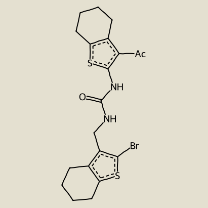 CC(=O)c1c(NC(=O)NCc2c(Br)sc3c2CCCC3)sc2c1CCCC2